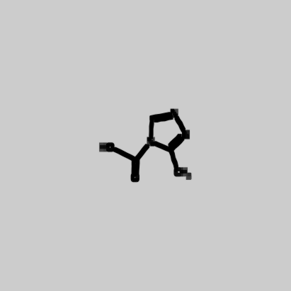 Cc1nncn1C(=O)O